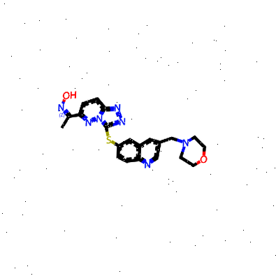 C/C(=N/O)c1ccc2nnc(Sc3ccc4ncc(CN5CCOCC5)cc4c3)n2n1